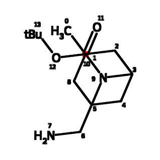 CC1CC2CC(CN)(C1)N2C(=O)OC(C)(C)C